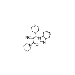 N#CC(C(=O)N1CCCCC1)=C(C1CCSCC1)N1C=NC2CN=CC=C21